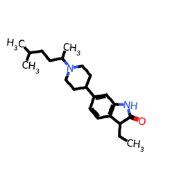 CCC1C(=O)Nc2cc(C3CCN(C(C)CCC(C)C)CC3)ccc21